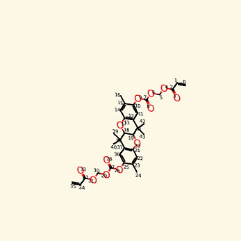 C=CC(=O)OCOC(=O)Oc1cc2c(cc1C)OC1C(Oc3cc(C)c(OC(=O)OCOC(=O)C=C)cc3C1(C)C)C2(C)C